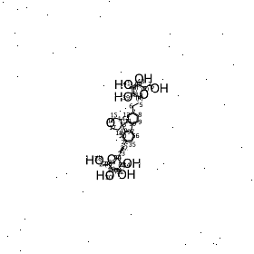 OC[C@H]1O[C@H](CCc2ccc3c(c2)C2(CCOCC2)c2cc(C#C[C@H]4O[C@H](CO)[C@@H](O)[C@H](O)[C@@H]4O)ccc2-3)[C@@H](O)[C@@H](O)[C@@H]1O